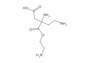 NCCOC(=O)C(N)(CCN)CC(=O)O